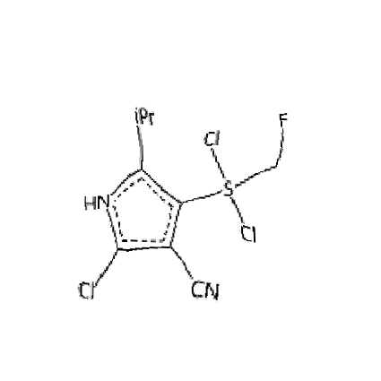 CC(C)c1[nH]c(Cl)c(C#N)c1S(Cl)(Cl)CF